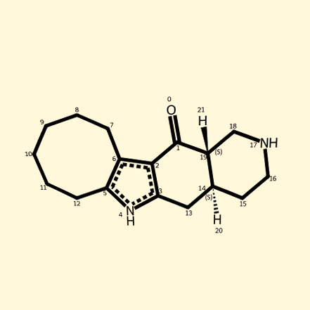 O=C1c2c([nH]c3c2CCCCCC3)C[C@@H]2CCNC[C@@H]12